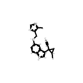 Cc1ncsc1COc1ccc2occ(C3(C#N)CC3C)c2c1